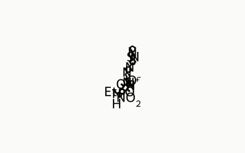 CCNc1cc2c(cc1[N+](=O)[O-])C(=O)c1n[n+]([O-])n(CCCN3CCN(c4ccc5nc(N6CCCCC6)sc5c4)CC3)c1C2=O